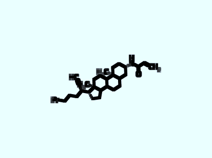 C#C[C@H](CCCC(C)C)[C@H]1CCC2C3CCC4C[C@@H](NC(=O)C=C)CC[C@]4(C)C3CC[C@@]21C